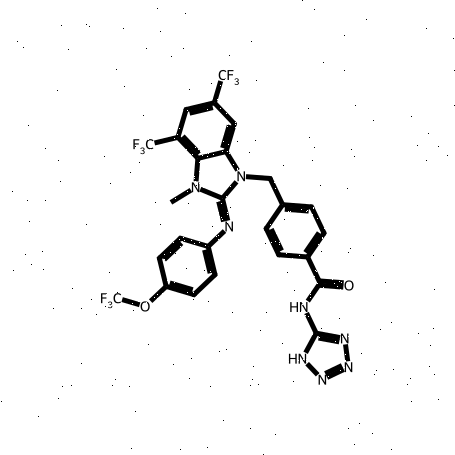 Cn1c(=Nc2ccc(OC(F)(F)F)cc2)n(Cc2ccc(C(=O)Nc3nnn[nH]3)cc2)c2cc(C(F)(F)F)cc(C(F)(F)F)c21